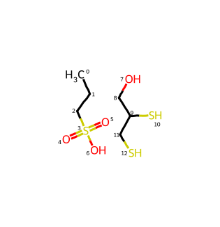 CCCS(=O)(=O)O.OCC(S)CS